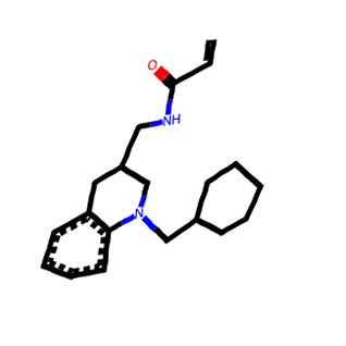 C=CC(=O)NCC1Cc2ccccc2N(CC2CCCCC2)C1